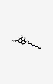 C=CCC/C=C/CCOc1ccc2cc(CCC)oc(=O)c2c1F